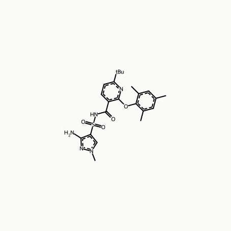 Cc1cc(C)c(Oc2nc(C(C)(C)C)ccc2C(=O)NS(=O)(=O)c2cn(C)nc2N)c(C)c1